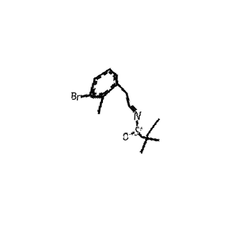 Cc1c(Br)cccc1C/C=N/[S+]([O-])C(C)(C)C